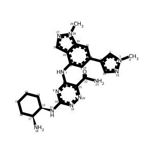 Cn1cc(-c2cc(Nc3nc(N[C@@H]4CCCC[C@@H]4N)nnc3C(N)=O)c3cnn(C)c3c2)cn1